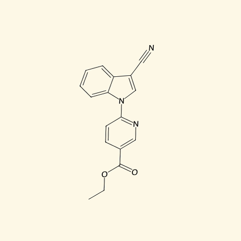 CCOC(=O)c1ccc(-n2cc(C#N)c3ccccc32)nc1